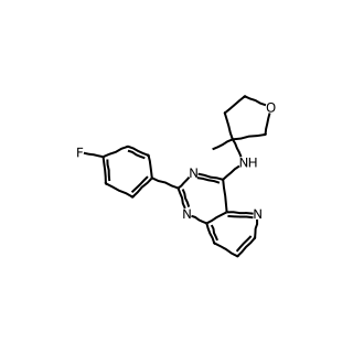 CC1(Nc2nc(-c3ccc(F)cc3)nc3cccnc23)CCOC1